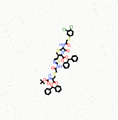 CC(C)(C)OC(=O)NC(CSCC(=O)Nc1ncc(C2=C(C(=O)OC(c3ccccc3)c3ccccc3)N3C(=O)C(NC(=O)CSc4ccc(Cl)c(Cl)c4)C3SC2)s1)C(=O)OC(c1ccccc1)c1ccccc1